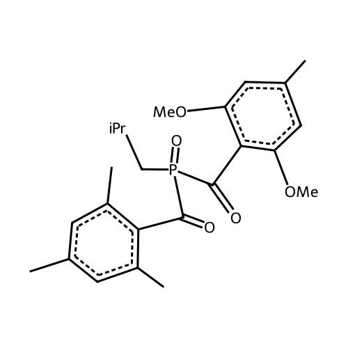 COc1cc(C)cc(OC)c1C(=O)P(=O)(CC(C)C)C(=O)c1c(C)cc(C)cc1C